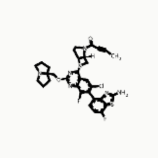 CC#CC(=O)N1CCC2[C@H]1CN2c1nc(OCC23CCCN2CCC3)nc2c(F)c(-c3ccc(F)c4sc(N)nc34)c(Cl)cc12